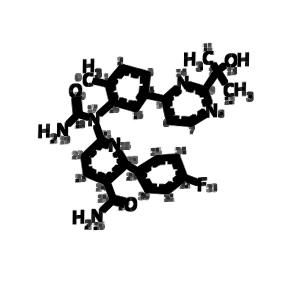 Cc1ccc(-c2ccnc(C(C)(C)O)n2)cc1N(C(N)=O)c1ccc(C(N)=O)c(-c2ccc(F)cc2)n1